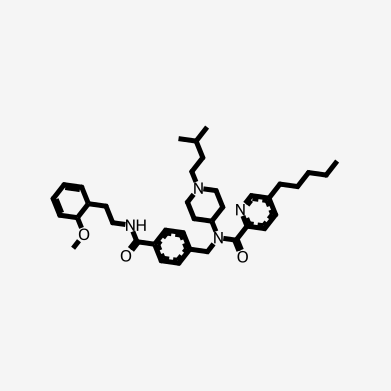 CCCCCc1ccc(C(=O)N(Cc2ccc(C(=O)NCCC3C=CC=CC3OC)cc2)C2CCN(CCC(C)C)CC2)nc1